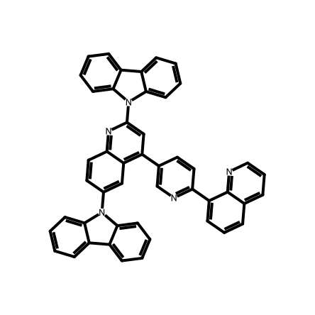 c1cnc2c(-c3ccc(-c4cc(-n5c6ccccc6c6ccccc65)nc5ccc(-n6c7ccccc7c7ccccc76)cc45)cn3)cccc2c1